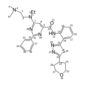 CCN(CCN(C)C)c1cc(C(=O)Nc2ccccc2-c2nnc(C3CCOCC3)s2)nc(-c2ccccc2)n1